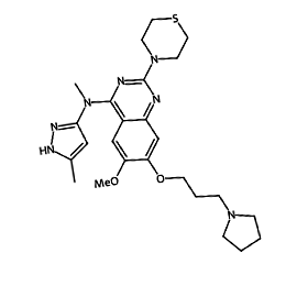 COc1cc2c(N(C)c3cc(C)[nH]n3)nc(N3CCSCC3)nc2cc1OCCCN1CCCC1